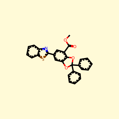 COC(=O)c1cc(-c2nc3ccccc3s2)cc2c1OC(c1ccccc1)(c1ccccc1)O2